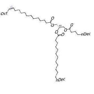 CCCCCCCC/C=C\CCCCCCCCCCCC(=O)OC[C@H](COC(=O)CCCCCCCCCCCCC)OC(=O)CCCCCCCCCCCCCCCCCCCCC